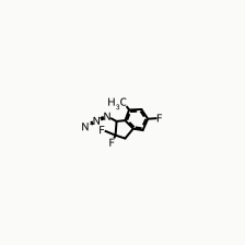 Cc1cc(F)cc2c1C(N=[N+]=[N-])C(F)(F)C2